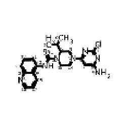 CC(C)C1CN(c2cc(N)nc(Cl)n2)CCN1C(=S)Nc1cccc2ncccc12